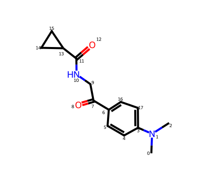 CN(C)c1ccc(C(=O)CNC(=O)C2CC2)cc1